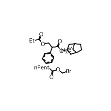 CCC(=O)OCC(C(=O)OC1CC2CCC(C1)N2C)c1ccccc1.CCCCCC(=O)OCBr